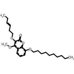 CCC=CCCOc1c(OC)c2cccc(OCCCCCCCCCC)c2oc1=O